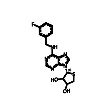 OC1CS[C@@H](n2cnc3c(NCc4cccc(F)c4)ncnc32)C1O